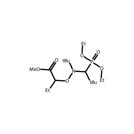 CCOP(=O)(OCC)C(N(OC(CC)C(=O)OC)C(C)(C)C)C(C)(C)C